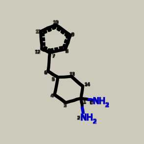 NC1(N)CCC(Cc2ccccc2)CC1